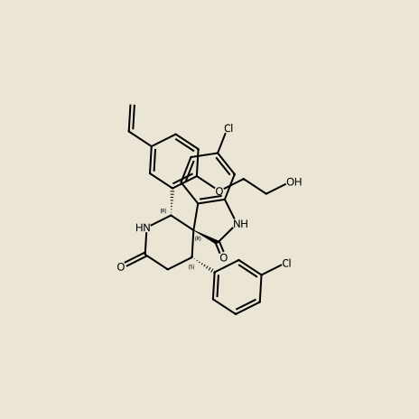 C=Cc1ccc(OCCO)c([C@H]2NC(=O)C[C@@H](c3cccc(Cl)c3)[C@]23C(=O)Nc2cc(Cl)ccc23)c1